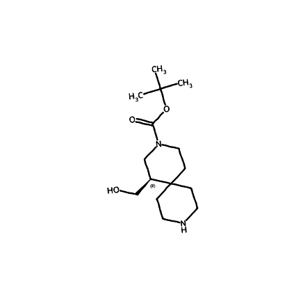 CC(C)(C)OC(=O)N1CCC2(CCNCC2)[C@@H](CO)C1